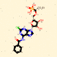 CCOC(=O)[C@H](OC[C@H]1O[C@@H](n2cnc3c(NC(=O)c4ccccc4)nc(Cl)nc32)[C@H](O)[C@@H]1O)P(=O)(O)O